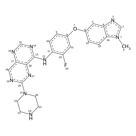 Cn1cnc2cc(Oc3ccc(Nc4ncnc5cnc(N6CCNCC6)nc45)c(F)c3)ccc21